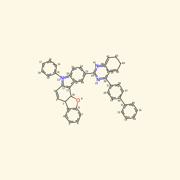 C1=CC2c3ccccc3OC2c2c1n(-c1ccccc1)c1ccc(-c3nc(-c4ccc(-c5ccccc5)cc4)c4c(n3)=CCCC=4)cc21